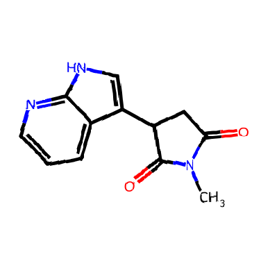 CN1C(=O)CC(c2c[nH]c3ncccc23)C1=O